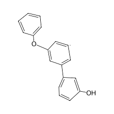 Oc1cccc(-c2c[c]cc(Oc3ccccc3)c2)c1